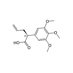 C=CC[C@H](C(=O)O)c1cc(OC)c(OC)c(OC)c1